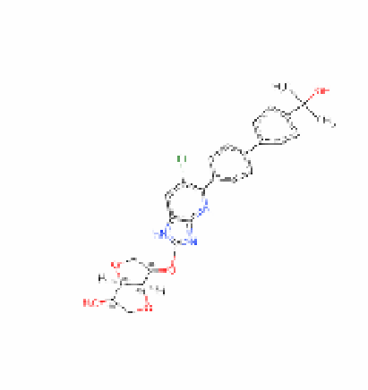 CC(C)(O)c1ccc(-c2ccc(-c3nc4nc(O[C@@H]5CO[C@H]6[C@@H]5OC[C@H]6O)[nH]c4cc3Cl)cc2)cc1